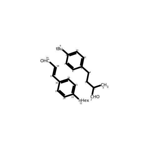 CC(C=O)CCc1ccc(C(C)(C)C)cc1.CCCCCCc1ccc(C=CC=O)cc1